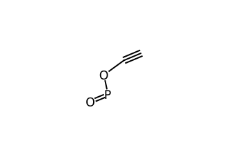 C#COP=O